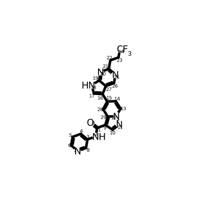 O=C(Nc1cccnc1)c1cnn2ccc(-c3c[nH]c4nc(CCC(F)(F)F)ncc34)cc12